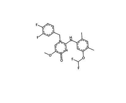 COc1cn(Cc2ccc(F)c(F)c2)c(Nc2cc(OC(F)F)c(C)cc2C)nc1=O